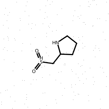 O=[SH](=O)[CH]C1CCCN1